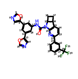 O=C(Nc1cc(-c2cnco2)cc(-c2cnco2)c1)N1c2nc(-c3cccc(C(F)(F)F)c3)ccc2C2CCC21